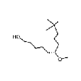 CO[C@H](CCCCCO)CCCC(C)(C)C